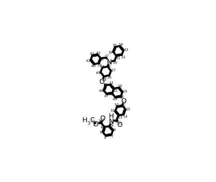 COC(=O)c1ccccc1NC(=O)c1ccc(Oc2ccc3cc(OC4CCC(N(Cc5ccccc5)Cc5ccccc5)CC4)ccc3c2)cc1